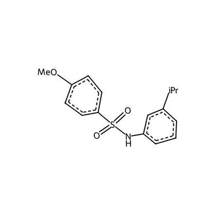 COc1ccc(S(=O)(=O)Nc2cccc(C(C)C)c2)cc1